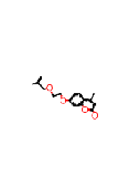 C=C(C)COCCOc1ccc2c(C)cc(=O)oc2c1